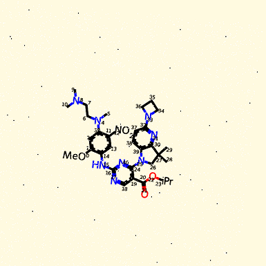 COc1cc(N(C)CCN(C)C)c([N+](=O)[O-])cc1Nc1ncc(C(=O)OC(C)C)c(N2CC(C)(C)c3nc(N4CCC4)ccc32)n1